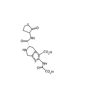 O=C(O)C(=O)Nc1sc2c(c1C(=O)O)C[C@@H](C(=O)NC1CCSC1=O)NC2